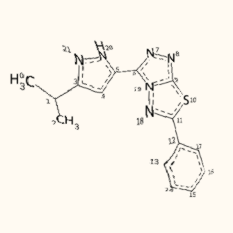 CC(C)c1cc(-c2nnc3sc(-c4ccccc4)nn23)[nH]n1